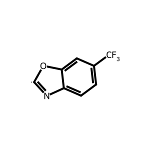 FC(F)(F)c1ccc2n[c]oc2c1